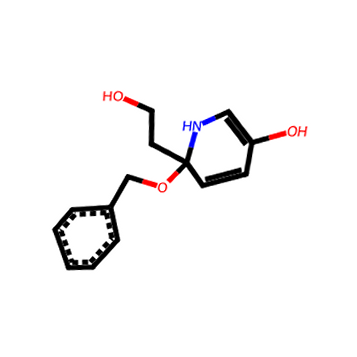 OCCC1(OCc2ccccc2)C=CC(O)=CN1